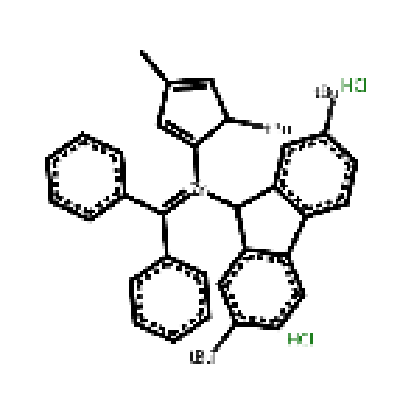 CC1=CC(C(C)(C)C)[C]([Zr](=[C](c2ccccc2)c2ccccc2)[CH]2c3cc(C(C)(C)C)ccc3-c3ccc(C(C)(C)C)cc32)=C1.Cl.Cl